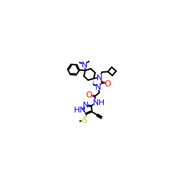 C#Cc1c(NC(=O)CN2C[C@]3(CC[C@](c4ccccc4)(N(C)C)CC3)N(CC3CCC3)C2=O)n[nH]c1SC